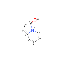 O=C1CC=C2C=CC=CN12